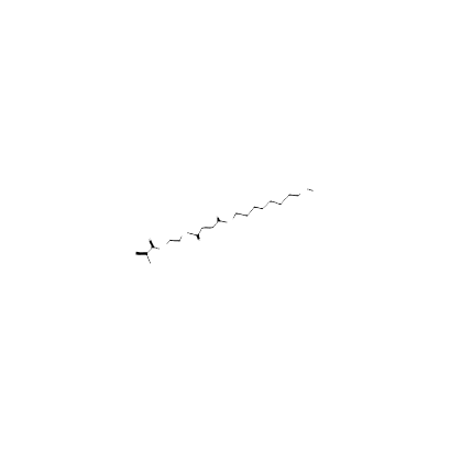 C=C(C)C(=O)OCCOC(=O)CCC(=O)OCCCCCCCCOC